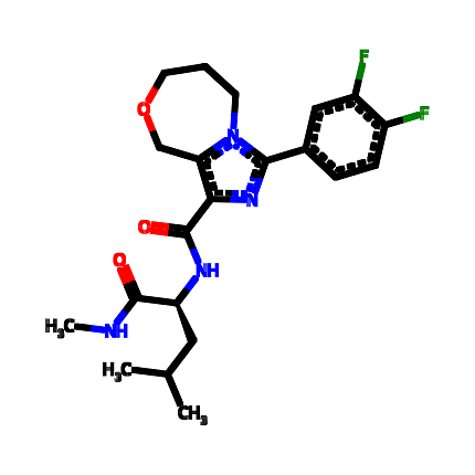 CNC(=O)[C@H](CC(C)C)NC(=O)c1nc(-c2ccc(F)c(F)c2)n2c1COCCC2